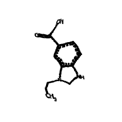 CCN1CNc2ccc(C(=O)O)cc21